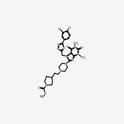 Cn1c(=O)c2c(nc(N3CCN(CCC4CCN(C(=O)OC(C)(C)C)CC4)CC3)n2Cc2nnc(-c3ccc(Cl)c(Cl)c3)o2)n(C)c1=O